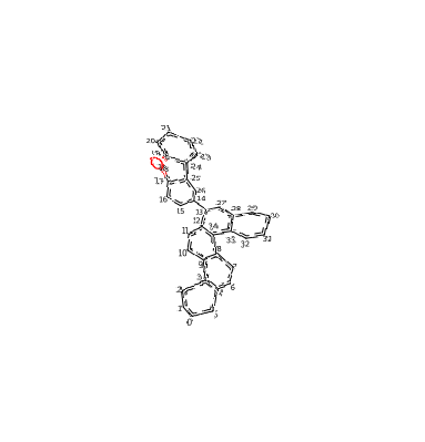 c1ccc2c(c1)ccc1c2ccc2c(-c3ccc4oc5ccccc5c4c3)cc3ccccc3c21